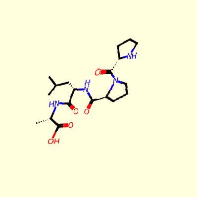 CC(C)C[C@H](NC(=O)[C@@H]1CCCN1C(=O)[C@@H]1CCCN1)C(=O)N[C@@H](C)C(=O)O